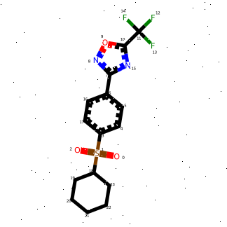 O=S(=O)(c1ccc(-c2noc(C(F)(F)F)n2)cc1)C1CCCCC1